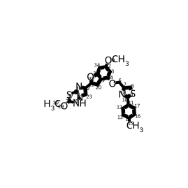 COc1cc(OCc2csc(-c3ccc(C)cc3)n2)c2cc(-c3cn4c(n3)SC(OC)N4)oc2c1